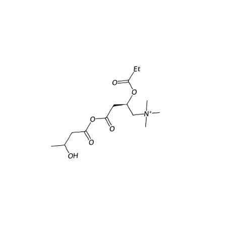 CCC(=O)O[C@H](CC(=O)OC(=O)CC(C)O)C[N+](C)(C)C